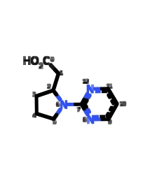 O=C(O)CC1CCCN1c1ncccn1